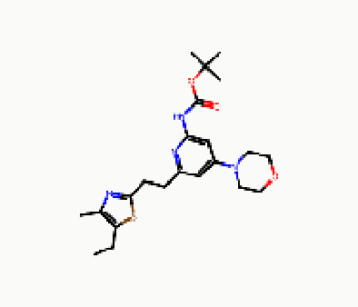 CCc1sc(CCc2cc(N3CCOCC3)cc(NC(=O)OC(C)(C)C)n2)nc1C